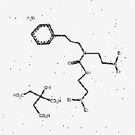 CCN(CC)CCNC(=O)N(CCCc1ccccc1)CCN(CC)CC.O.O=C(O)CC(O)(CC(=O)O)C(=O)O